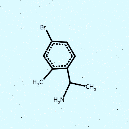 Cc1cc(Br)ccc1C(C)N